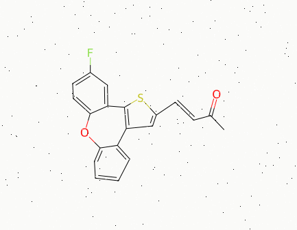 CC(=O)C=Cc1cc2c(s1)-c1cc(F)ccc1Oc1ccccc1-2